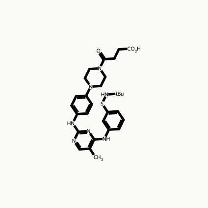 Cc1cnc(Nc2ccc(N3CCN(C(=O)CCC(=O)O)CC3)cc2)nc1Nc1cccc(SNC(C)(C)C)c1